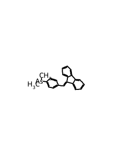 C[As](C)c1ccc(C=C2c3ccccc3-c3ccccc32)cc1